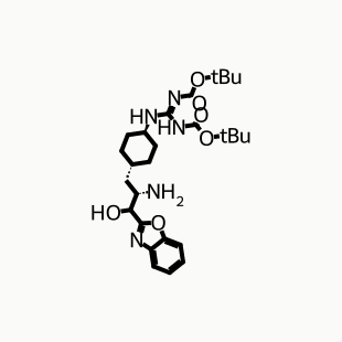 CC(C)(C)OC(=O)/N=C(\NC(=O)OC(C)(C)C)N[C@H]1CC[C@H](C[C@H](N)C(O)c2nc3ccccc3o2)CC1